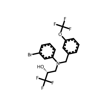 O[C@H](CN(Cc1cccc(OC(F)(F)F)c1)c1cccc(Br)c1)C(F)(F)F